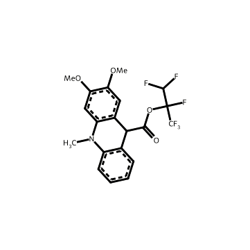 COc1cc2c(cc1OC)N(C)c1ccccc1C2C(=O)OC(F)(C(F)F)C(F)(F)F